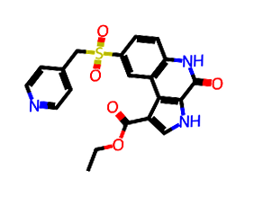 CCOC(=O)c1c[nH]c2c(=O)[nH]c3ccc(S(=O)(=O)Cc4ccncc4)cc3c12